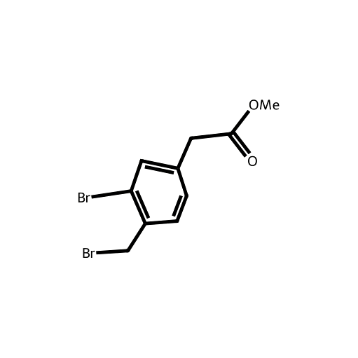 COC(=O)Cc1ccc(CBr)c(Br)c1